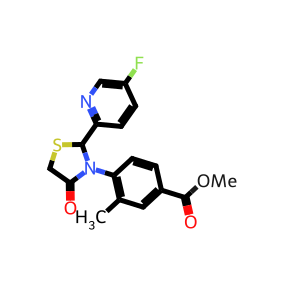 COC(=O)c1ccc(N2C(=O)CSC2c2ccc(F)cn2)c(C)c1